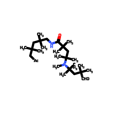 CC(=O)CC(C)(C)CC(C)(C)CNC(=O)C(C)(C)CC(C)(C)N(C)C(C)(C)CC(C)(C)C=O